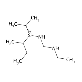 CCNCN[SiH](C(C)C)C(C)CC